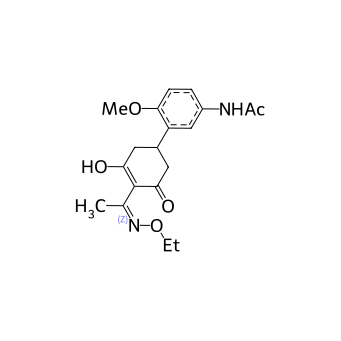 CCO/N=C(/C)C1=C(O)CC(c2cc(NC(C)=O)ccc2OC)CC1=O